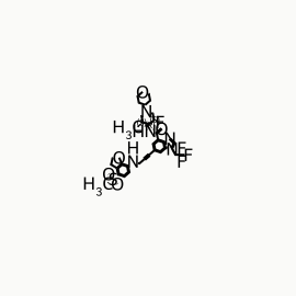 C[C@H]1CN(C2CCOCC2)C[C@H](F)[C@@H]1NC(=O)c1cc(C#CCNc2ccc(S(C)(=O)=O)c3c2OCC3)cc2c1ncn2CC(F)(F)F